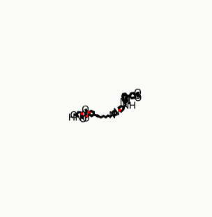 CS(=O)(=O)c1ccc(-c2cccc3nc(Nc4ccc(N5CCN(CCCCCC#Cc6ccc7c(c6)C(=O)N(C6CCC(=O)NC6=O)C7=O)CC5)cc4)nn23)cc1